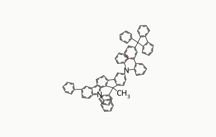 CC1(c2ccccc2)c2ccc(N(c3ccccc3)c3ccccc3-c3cccc(C4(c5ccccc5)c5ccccc5-c5ccccc54)c3)cc2-c2ccc3c4cc(-c5ccccc5)ccc4n(-c4ccccc4)c3c21